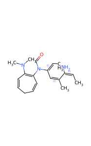 C\C=C(N)/C(C)=C\C(=C/C)N(C=O)C1=C(N(C)C)C=CCC=C1